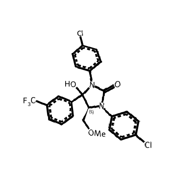 COC[C@@H]1N(c2ccc(Cl)cc2)C(=O)N(c2ccc(Cl)cc2)C1(O)c1cccc(C(F)(F)F)c1